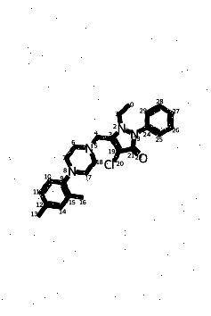 CCn1c(CN2CCN(c3ccc(C)cc3C)CC2)c(Cl)c(=O)n1-c1ccccc1